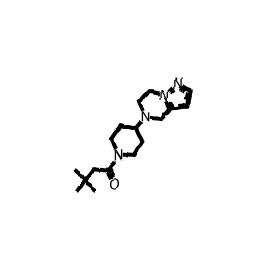 CC(C)(C)CC(=O)N1CCC(N2CCn3nccc3C2)CC1